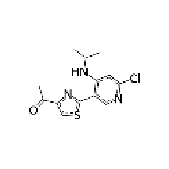 CC(=O)c1csc(-c2cnc(Cl)cc2NC(C)C)n1